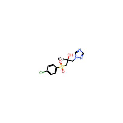 CC(C)(C)C(O)(Cn1cncn1)CS(=O)(=O)c1ccc(Cl)cc1